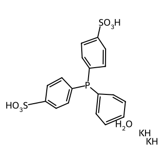 O.O=S(=O)(O)c1ccc(P(c2ccccc2)c2ccc(S(=O)(=O)O)cc2)cc1.[KH].[KH]